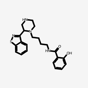 O=C(NCCCCN1CCNCC1c1nsc2ccccc12)c1ccccc1O